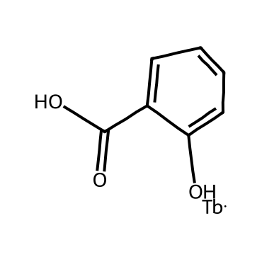 O=C(O)c1ccccc1O.[Tb]